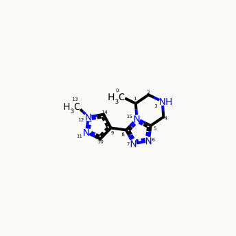 CC1CNCc2nnc(-c3cnn(C)c3)n21